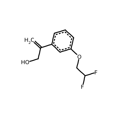 C=C(CO)c1cccc(OCC(F)F)c1